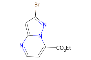 CCOC(=O)c1ccnc2cc(Br)nn12